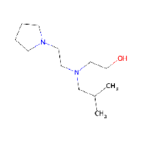 CC(C)CN(CCO)CCN1CCCC1